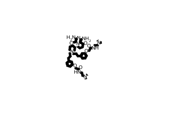 CN(C)CCNC(=O)COc1cccc(CCC[N+]2(CCCc3cccc(OCC(=O)NCCN(C)C)c3)CCC[C@H](CCCC(=O)c3nc(Cl)c(N)nc3N)C2)c1